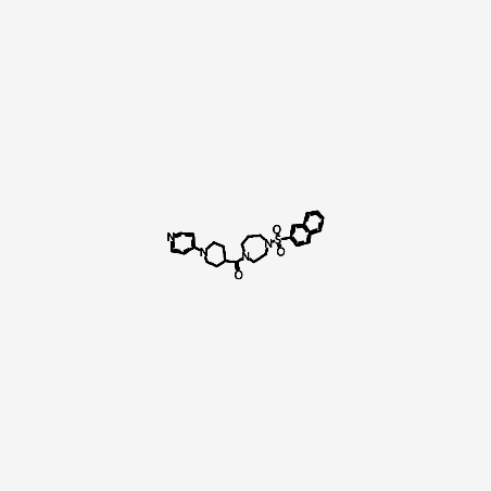 O=C(C1CCN(c2ccncc2)CC1)N1CCCN(S(=O)(=O)c2ccc3ccccc3c2)CC1